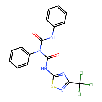 O=C(Nc1ccccc1)N(C(=O)Nc1nc(C(Cl)(Cl)Cl)ns1)c1ccccc1